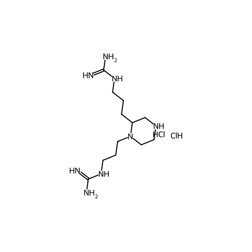 Cl.Cl.N=C(N)NCCCC1CNCCN1CCCNC(=N)N